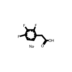 O=C(O)Cc1ccc(F)c(F)c1F.[Na]